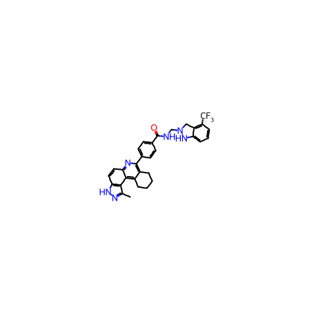 Cc1n[nH]c2ccc3nc(-c4ccc(C(=O)NCN5Cc6c(cccc6C(F)(F)F)N5)cc4)c4c(c3c12)CCCC4